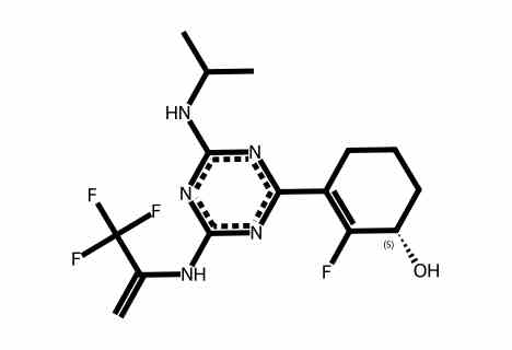 C=C(Nc1nc(NC(C)C)nc(C2=C(F)[C@@H](O)CCC2)n1)C(F)(F)F